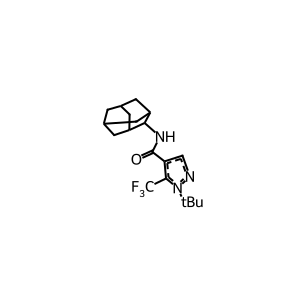 CC(C)(C)n1ncc(C(=O)NC2C3CC4CC(C3)CC2C4)c1C(F)(F)F